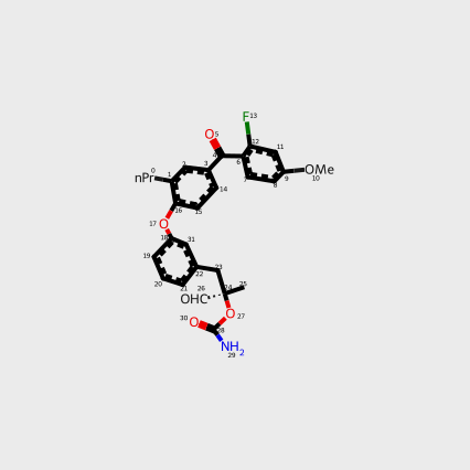 CCCc1cc(C(=O)c2ccc(OC)cc2F)ccc1Oc1cccc(C[C@](C)(C=O)OC(N)=O)c1